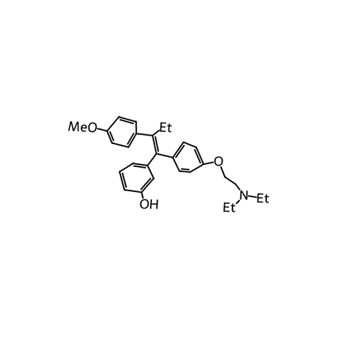 CC/C(=C(\c1ccc(OCCN(CC)CC)cc1)c1cccc(O)c1)c1ccc(OC)cc1